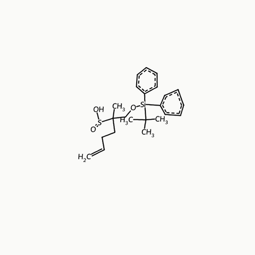 C=CCCC(C)(CO[Si](c1ccccc1)(c1ccccc1)C(C)(C)C)S(=O)O